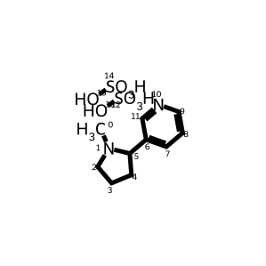 CN1CCCC1c1cccnc1.O=S(=O)(O)O.O=S(=O)(O)O